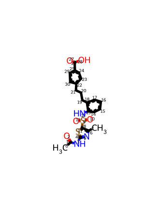 CC(=O)Nc1nc(C)c(S(=O)(=O)Nc2ccccc2CCCc2ccc(C(=O)O)cc2)s1